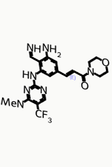 CNc1nc(Nc2cc(/C=C/C(=O)N3CCOCC3)cc(N)c2C=N)ncc1C(F)(F)F